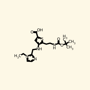 CCn1ccnc1CNc1cc(C(=O)O)sc1CCNC(=O)OC(C)(C)C